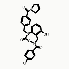 O=C(c1ccc(CN2C(=O)CN(C(=O)c3ccc(Cl)cc3)Cc3c(O)cccc32)cc1)N1CC=CC1